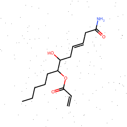 C=CC(=O)OC(CCCCC)C(O)C/C=C/CC(N)=O